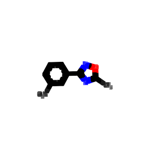 O=[N+]([O-])c1cccc(-c2noc(C(F)(F)F)n2)c1